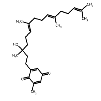 CC(C)=CCC/C(C)=C/CC/C(C)=C/CCC(C)(O)CCC1=CC(=O)C=C(C)C1=O